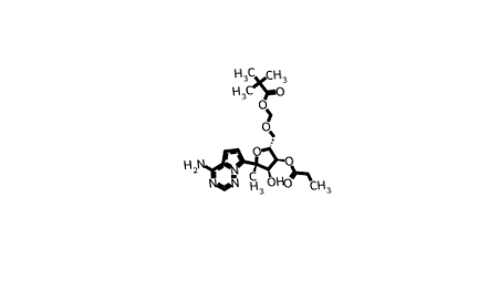 CCC(=O)O[C@H]1[C@@H](O)[C@](C)(c2ccc3c(N)ncnn23)O[C@@H]1COCOC(=O)C(C)(C)C